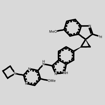 [2H]C1=Nc2ccc(OC)cc2[C@]12C[C@H]2c1ccc2c(Nc3nc(N4CCC4)ncc3OC)n[nH]c2c1